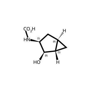 O=C(O)N[C@H]1C[C@H]2C[C@@H]2[C@H]1O